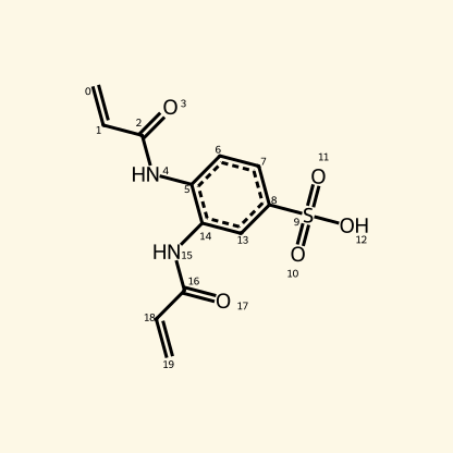 C=CC(=O)Nc1ccc(S(=O)(=O)O)cc1NC(=O)C=C